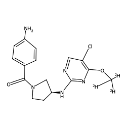 [2H]C([2H])([2H])Oc1nc(N[C@H]2CCN(C(=O)c3ccc(N)cc3)C2)ncc1Cl